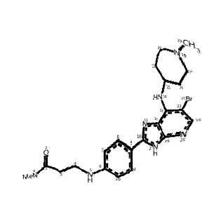 CNC(=O)CCNc1ccc(-c2nc3c(NC4CCN(C)CC4)c(Br)cnc3[nH]2)cc1